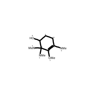 CNC1=C(OC)C(NC)(NC)C(O)CC1